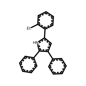 CCc1ccccc1-c1cc(-c2ccccc2)c(-c2ccccc2)[nH]1